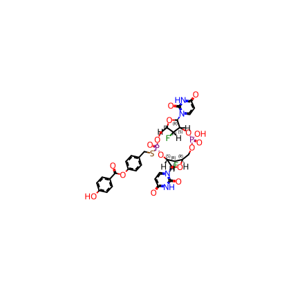 O=C(Oc1ccc(CSP2(=O)OC[C@H]3O[C@@H](n4ccc(=O)[nH]c4=O)[C@H](OP(=O)(O)OC[C@H]4O[C@@H](n5ccc(=O)[nH]c5=O)[C@H](O2)[C@@H]4F)[C@@H]3F)cc1)c1ccc(O)cc1